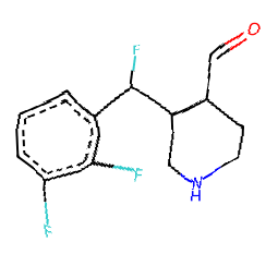 O=CC1CCNCC1C(F)c1cccc(F)c1F